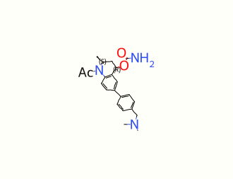 CC(=O)N1c2ccc(-c3ccc(CN(C)C)cc3)cc2[C@H](OC(N)=O)C[C@@H]1C